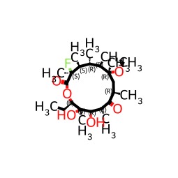 CC[C@H]1OC(=O)[C@@](C)(F)[C@@H](C)[C@H](C)[C@@H](C)[C@](C)(OC)C[C@@H](C)C(=O)[C@H](C)[C@@H](O)[C@]1(C)O